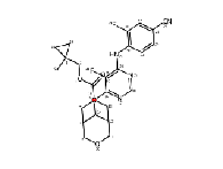 CC1(COC(=O)N2CC3COCC(C2)C3Oc2ncnc(Nc3ccc(C#N)cc3F)c2F)CC1